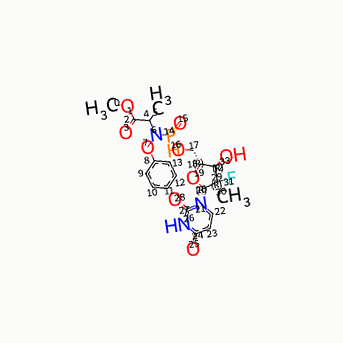 COC(=O)C(C)N(Oc1ccccc1)[PH](=O)OC[C@H]1O[C@@H](n2ccc(=O)[nH]c2=O)[C@](C)(F)[C@@H]1O